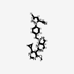 COc1ncnc(C2CC2)c1-c1ncc2cnn(Cc3ccc(-n4nc(C)cc4C#N)cc3)c2n1